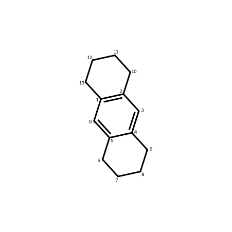 [c]1c2c(cc3c1CCCC3)CCCC2